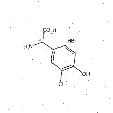 Br.N[C@H](C(=O)O)c1ccc(O)c(Cl)c1